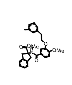 COC(=O)C1(NC(=O)c2ccc(OC)c(OCCc3cccc(C)c3)c2)Cc2ccccc2C1